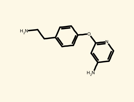 NCCc1ccc(Oc2cc(N)ccn2)cc1